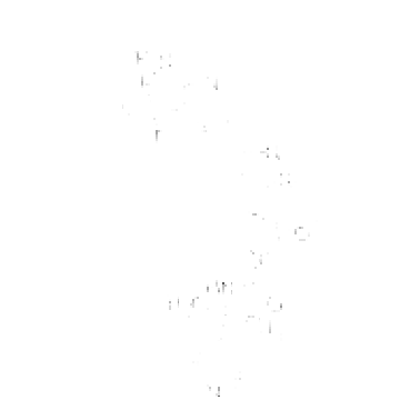 CC(C)(NC(=O)N1CC[C@]2(C1)OCCn1nc(-c3cnc(N)c(C(F)(F)F)c3)cc12)c1ccncc1